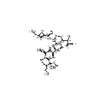 CC[C@@]1(O)C(=C=O)OCC2=C1C=C1c3nc4cc(F)c(C)c5c4c(c3CN1C2=C=O)[C@@H](NC(=O)C12CC(CO)(C1)C2)CC5